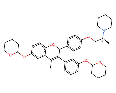 CC1=C(c2cccc(OC3CCCCO3)c2)C(c2ccc(OC[C@H](C)N3CCCCC3)cc2)Oc2ccc(OC3CCCCO3)cc21